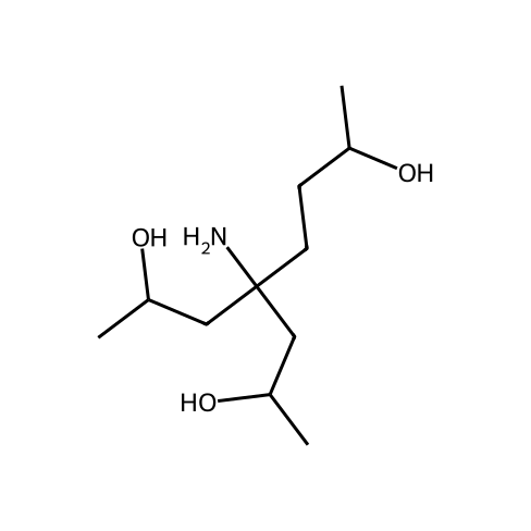 CC(O)CCC(N)(CC(C)O)CC(C)O